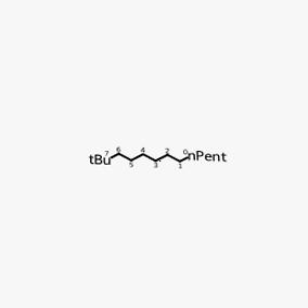 CCCCCCC[CH]CCCC(C)(C)C